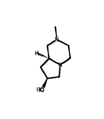 CN1CCN2C[C@@H](O)C[C@H]2C1